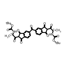 C[C@H](NC(=O)OC(C)(C)C)C(=O)C1C(=O)c2ccc(C(=O)c3ccc4c(c3)C(=O)C(C(=O)[C@H](C)NC(=O)OC(C)(C)C)C4=O)cc2C1=O